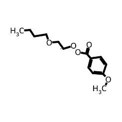 CCCCOC[CH]OOC(=O)c1ccc(OC)cc1